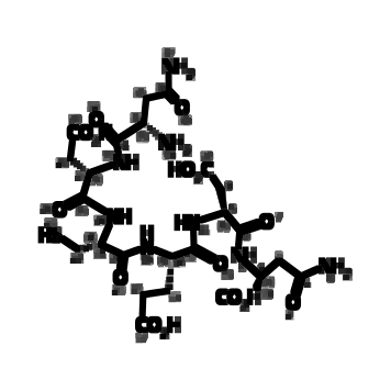 NC(=O)C[C@H](NC(=O)[C@H](CC(=O)O)NC(=O)[C@H](CCC(=O)O)NC(=O)[C@H](CS)NC(=O)[C@H](CC(=O)O)NC(=O)[C@@H](N)CC(N)=O)C(=O)O